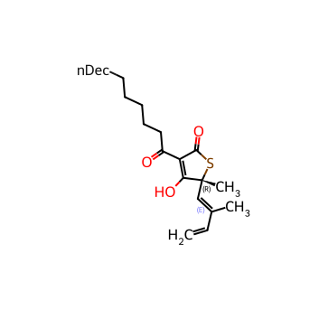 C=C/C(C)=C/[C@@]1(C)SC(=O)C(C(=O)CCCCCCCCCCCCCCC)=C1O